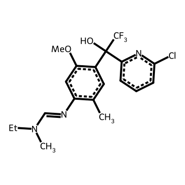 CCN(C)/C=N/c1cc(OC)c(C(O)(c2cccc(Cl)n2)C(F)(F)F)cc1C